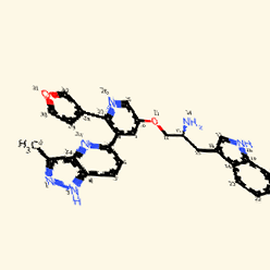 Cc1n[nH]c2ccc(-c3cc(OC[C@@H](N)Cc4c[nH]c5ccccc45)cnc3-c3ccoc3)nc12